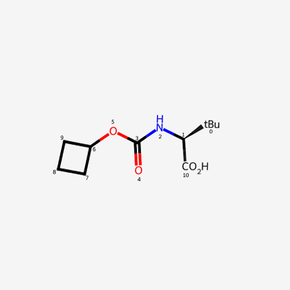 CC(C)(C)[C@H](NC(=O)OC1CCC1)C(=O)O